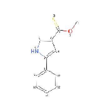 COC(=S)c1c[nH]c(-c2ccccc2)c1